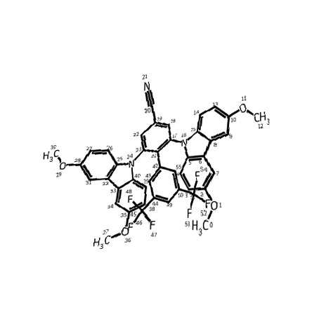 COc1ccc2c(c1)c1cc(OC)ccc1n2-c1cc(C#N)cc(-n2c3ccc(OC)cc3c3cc(OC)ccc32)c1-c1cc(C(F)(F)F)cc(C(F)(F)F)c1